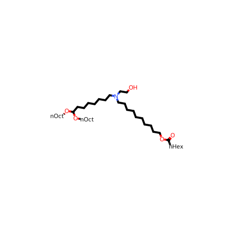 CCCCCCCCOC(CCCCCCCN(CCO)CCCCCCCCCCOC(=O)CCCCCC)OCCCCCCCC